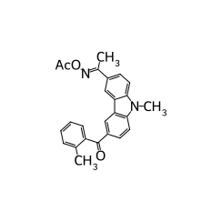 CC(=O)ON=C(C)c1ccc2c(c1)c1cc(C(=O)c3ccccc3C)ccc1n2C